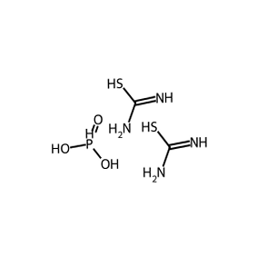 N=C(N)S.N=C(N)S.O=[PH](O)O